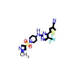 Cn1cc(S(=O)(=O)N2CCC(Nc3ncc(C(F)(F)F)c(-c4cc(C#N)cs4)n3)CC2)cn1